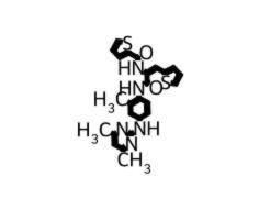 CC1=C(NC(=O)/C(=C\c2cccs2)NC(=O)c2cccs2)C=CC(Nc2nc(C)cc(C)n2)C1